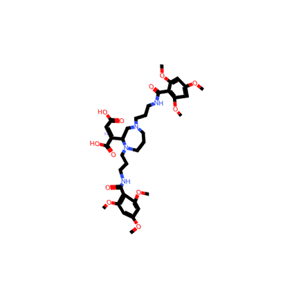 COc1cc(OC)c(C(=O)NCCCN2CCCN(CCCNC(=O)c3c(OC)cc(OC)cc3OC)C(/C(=C\C(=O)O)C(=O)O)C2)c(OC)c1